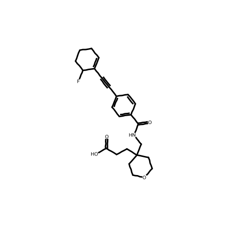 O=C(O)CCC1(CNC(=O)c2ccc(C#CC3=CCCCC3F)cc2)CCOCC1